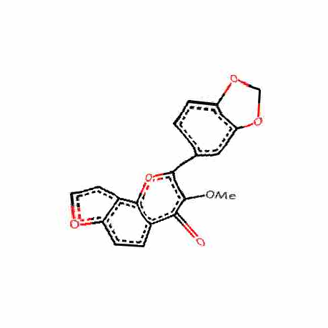 COc1c(-c2ccc3c(c2)OCO3)oc2c(ccc3occc32)c1=O